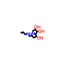 C=CCNCC1CC(O)C2C(O)C(O)CN12